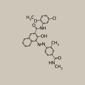 CNC(=O)c1ccc(/N=N/c2c(O)c(C(=O)Nc3cc(Cl)ccc3OC)cc3ccccc23)c(C)c1